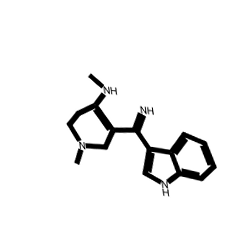 CNC1=C(C(=N)c2c[nH]c3ccccc23)CN(C)CC1